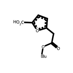 CC(C)(C)OC(=O)Cc1ccc(C(=O)O)o1